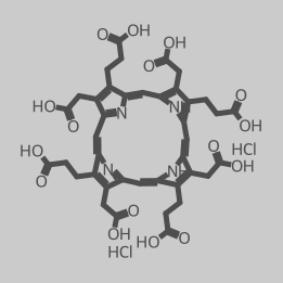 Cl.Cl.O=C(O)CCC1=C(CC(=O)O)c2cc3nc(cc4[nH]c(cc5[nH]c(cc1n2)c(CC(=O)O)c5CCC(=O)O)c(CC(=O)O)c4CCC(=O)O)C(CC(=O)O)=C3CCC(=O)O